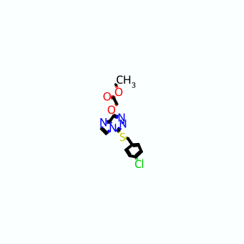 CCOC(=O)COc1nnc(SCc2ccc(Cl)cc2)n2ccnc12